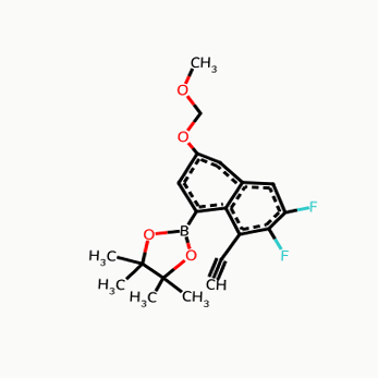 C#Cc1c(F)c(F)cc2cc(OCOC)cc(B3OC(C)(C)C(C)(C)O3)c12